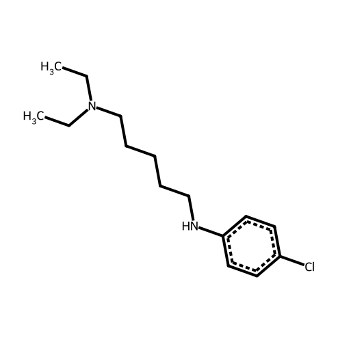 CCN(CC)CCCCCNc1ccc(Cl)cc1